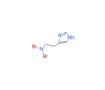 BrN(Br)CCc1c[nH]cn1